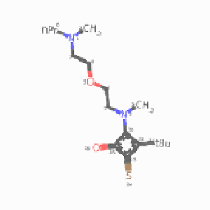 CCCN(C)CCOCCN(C)c1c(C(C)(C)C)c(=S)c1=O